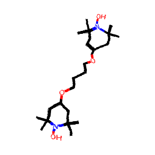 CC1(C)CC(OCCCCOC2CC(C)(C)N(O)C(C)(C)C2)CC(C)(C)N1O